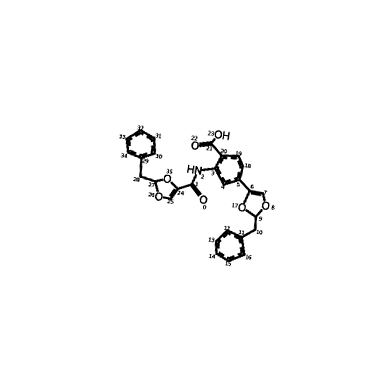 O=C(Nc1cc(C2=COC(Cc3ccccc3)O2)ccc1C(=O)O)C1=COC(Cc2ccccc2)O1